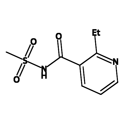 CCc1ncccc1C(=O)NS(C)(=O)=O